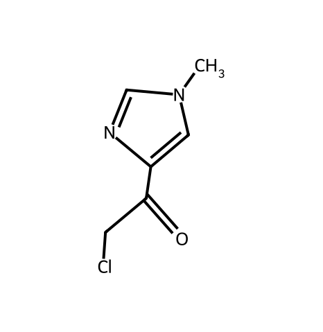 Cn1cnc(C(=O)CCl)c1